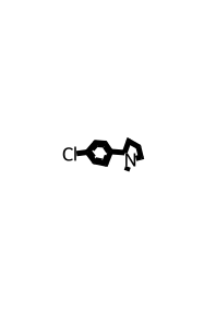 CN1CCCC1c1ccc(Cl)cc1